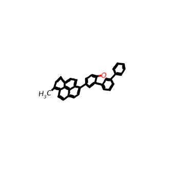 Cc1ccc2ccc3c(-c4ccc5oc6c(-c7ccccc7)cccc6c5c4)ccc4ccc1c2c43